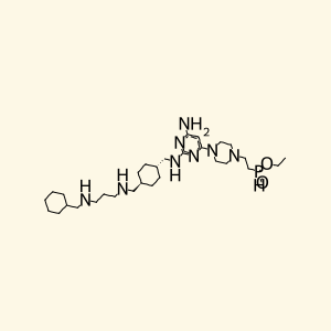 CCO[PH](=O)CCN1CCN(c2cc(N)nc(NC[C@H]3CC[C@H](CNCCCNCC4CCCCC4)CC3)n2)CC1